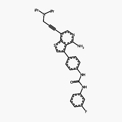 CC(C)N(CC#Cc1cnc(N)c2c(-c3ccc(NC(=O)Nc4cccc(F)c4)cc3)csc12)C(C)C